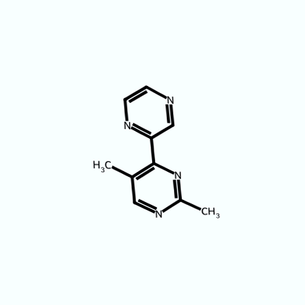 Cc1ncc(C)c(-c2cnccn2)n1